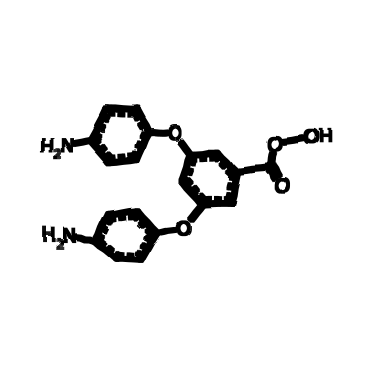 Nc1ccc(Oc2cc(Oc3ccc(N)cc3)cc(C(=O)OO)c2)cc1